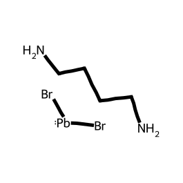 NCCCCN.[Br][Pb][Br]